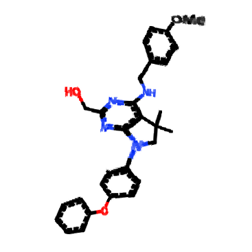 COc1ccc(CNc2nc(CO)nc3c2C(C)(C)CN3c2ccc(Oc3ccccc3)cc2)cc1